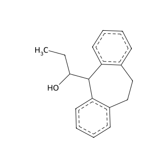 CCC(O)C1c2ccccc2CCc2ccccc21